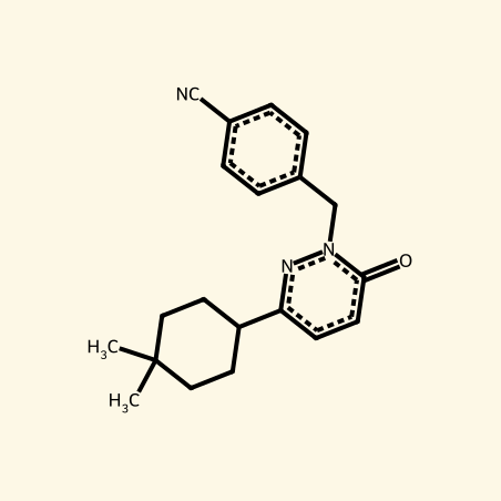 CC1(C)CCC(c2ccc(=O)n(Cc3ccc(C#N)cc3)n2)CC1